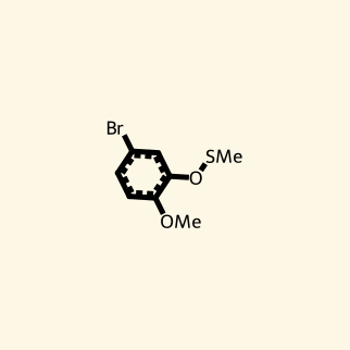 COc1ccc(Br)cc1OSC